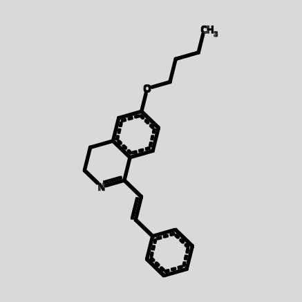 CCCCOc1ccc2c(c1)CCN=C2C=Cc1ccccc1